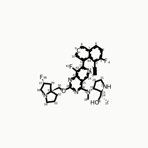 C#Cc1c(F)ccc2cccc(-c3ncc4c(N(C)[C@@H]5CCN[C@@H]5[C@H](C)O)nc(OC[C@@]56CCCN5C[C@H](F)C6)nc4c3F)c12